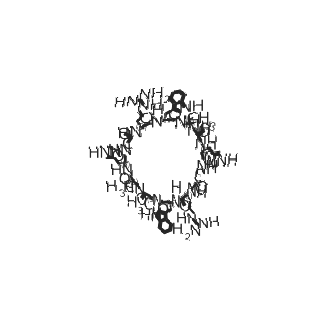 C[C@H]1NC(=O)N[C@@H](Cc2c[nH]cn2)C(=O)NCC(=O)N[C@@H](CCCNC(=N)N)C(=O)N[C@@H](Cc2c[nH]c3ccccc23)C(=O)N[C@@H](C)C(=O)N[C@@H](C)C(=O)N[C@@H](Cc2c[nH]cn2)C(=O)NCC(=O)N[C@@H](CCCNC(=N)N)C(=O)N[C@@H](Cc2c[nH]c3ccccc23)C(=O)N1